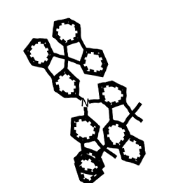 CC1(C)c2ccccc2-c2ccc(N(c3ccc4c(c3)C3(c5ccccc5-c5ccccc53)c3ccccc3-4)c3cccc4c3-c3cc(-c5ccccc5)c5ccccc5c3C4(C)C)cc21